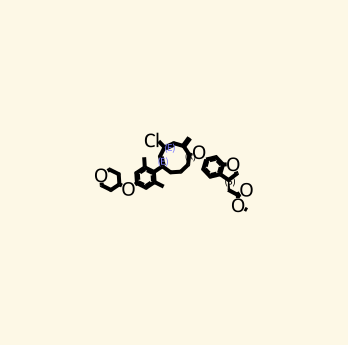 C=C1/C=C(Cl)\C=C(\c2c(C)cc(OC3CCOCC3)cc2C)CCC[C@H]1Oc1ccc2c(c1)OC[C@H]2CC(=O)OC